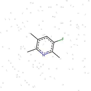 [CH2]c1cc(F)c(C)nc1C